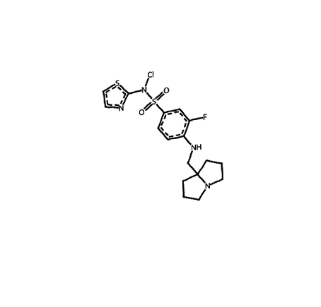 O=S(=O)(c1ccc(NCC23CCCN2CCC3)c(F)c1)N(Cl)c1nccs1